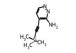 C[Si](C)(C)C#Cc1ccnnc1N